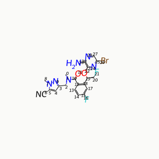 CN(Cc1cc(C#N)n(C)n1)C(=O)c1ccc(F)cc1[C@H](CF)Oc1nc(Br)cnc1N